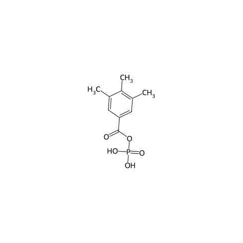 Cc1cc(C(=O)OP(=O)(O)O)cc(C)c1C